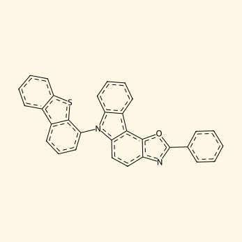 c1ccc(-c2nc3ccc4c(c5ccccc5n4-c4cccc5c4sc4ccccc45)c3o2)cc1